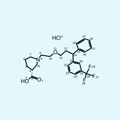 Cl.O=C(O)[C@@H]1CCCN(CCOCCC(c2ccccc2)c2cccc(C(F)(F)F)c2)C1